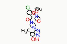 C[C@@H]1C[C@H](O)c2ncnc(N3CCN(C(=O)[C@@H](c4ccc(Cl)cc4)C4COCCN4C(=O)OC(C)(C)C)CC3)c21